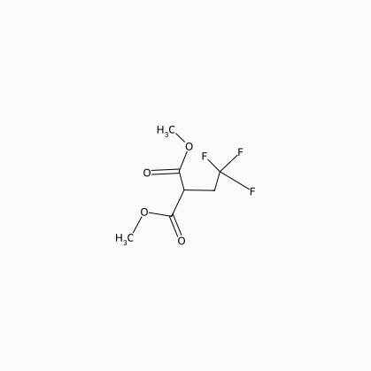 COC(=O)C(CC(F)(F)F)C(=O)OC